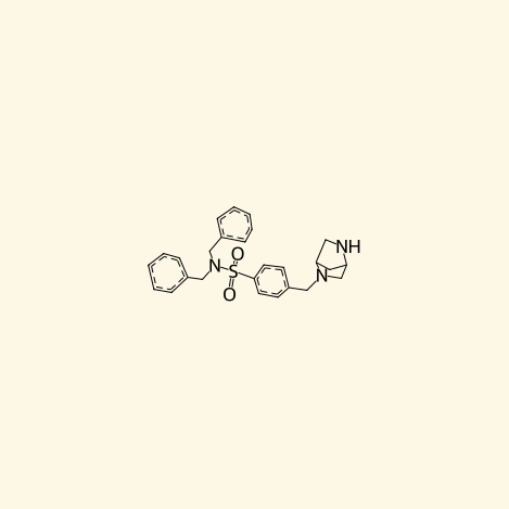 O=S(=O)(c1ccc(CN2CC3CC2CN3)cc1)N(Cc1ccccc1)Cc1ccccc1